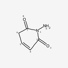 NN1C(=O)C=CCC1=O